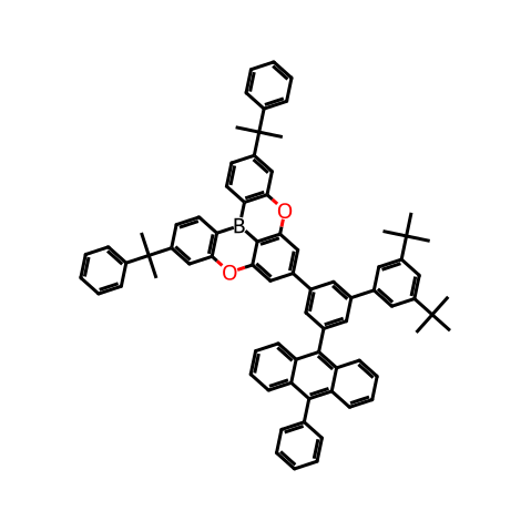 CC(C)(C)c1cc(-c2cc(-c3cc4c5c(c3)Oc3cc(C(C)(C)c6ccccc6)ccc3B5c3ccc(C(C)(C)c5ccccc5)cc3O4)cc(-c3c4ccccc4c(-c4ccccc4)c4ccccc34)c2)cc(C(C)(C)C)c1